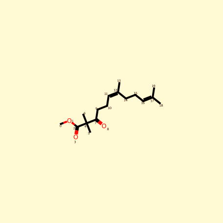 COC(=O)C(C)(C)C(=O)CCC=C(C)CCC=C(C)C